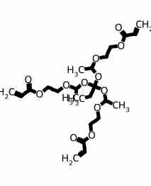 C=CC(=O)OCCOC(C)OC(CC)(OC(C)OCCOC(=O)C=C)OC(C)OCCOC(=O)C=C